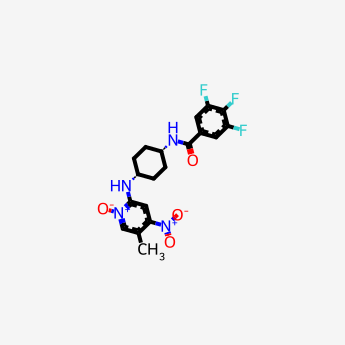 Cc1c[n+]([O-])c(N[C@H]2CC[C@@H](NC(=O)c3cc(F)c(F)c(F)c3)CC2)cc1[N+](=O)[O-]